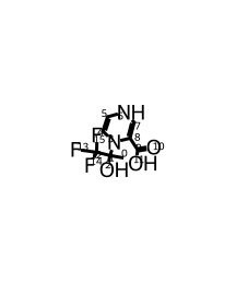 CC(O)(N1C=CNC=C1C(=O)O)C(F)(F)F